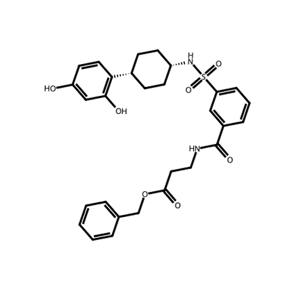 O=C(CCNC(=O)c1cccc(S(=O)(=O)N[C@H]2CC[C@@H](c3ccc(O)cc3O)CC2)c1)OCc1ccccc1